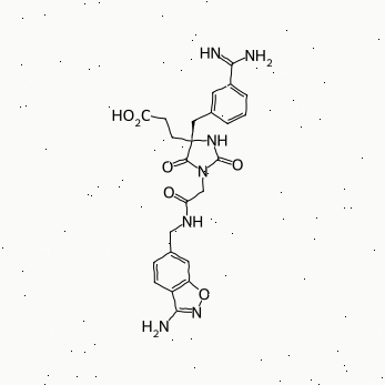 N=C(N)c1cccc(C[C@@]2(CCC(=O)O)NC(=O)N(CC(=O)NCc3ccc4c(N)noc4c3)C2=O)c1